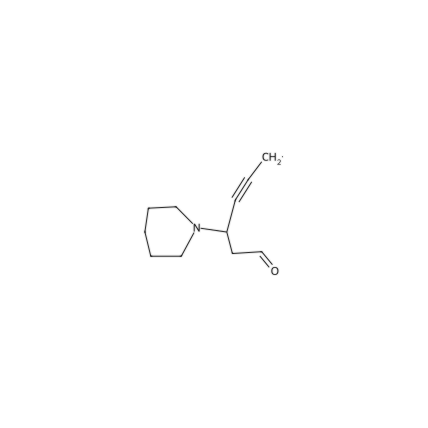 [CH2]C#CC(CC=O)N1CCCCC1